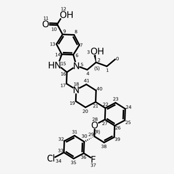 CC[C@H](O)CN1c2ccc(C(=O)O)cc2NC1CN1CCC(c2cccc3c2O[C@@H](c2ccc(Cl)cc2F)C=C3)CC1